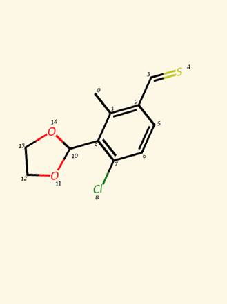 Cc1c(C=S)ccc(Cl)c1C1OCCO1